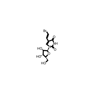 O=c1[nH]c(=O)n([C@H]2O[C@@H](CO)[C@H](O)[C@H]2O)cc1/C=C/Br